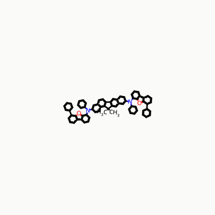 CC1(C)c2cc3cc(N(c4ccccc4)c4cccc5c4oc4c(-c6ccccc6)cccc45)ccc3cc2-c2ccc3cc(N(c4ccccc4)c4cccc5c4oc4c(-c6ccccc6)cccc45)ccc3c21